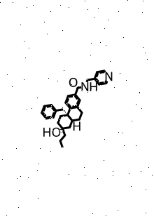 CCC[C@@]1(O)CC[C@@]2(Cc3ccccc3)c3ccc(C(=O)NCc4ccncc4)cc3CC[C@@H]2C1